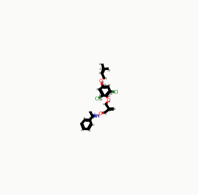 C=C(CO/N=C(\C)c1ccccc1)COc1c(Cl)cc(OCC=C(C)C)cc1Cl